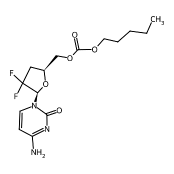 CCCCCOC(=O)OC[C@@H]1CC(F)(F)[C@H](n2ccc(N)nc2=O)O1